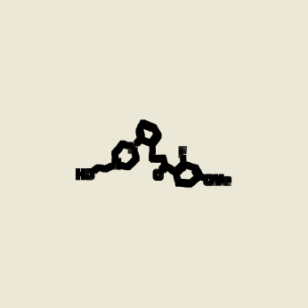 COc1ccc(C(=O)C=Cc2ccccc2N2CCN(CCO)CC2)c(F)c1